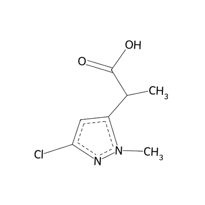 CC(C(=O)O)c1cc(Cl)nn1C